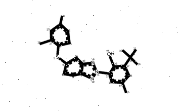 Cc1ccc(Sc2ccc3nn(-c4cc(C)cc(C(C)(C)C)c4O)nc3c2)c(C)c1